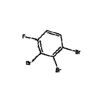 Fc1ccc(Br)c(Br)c1Br